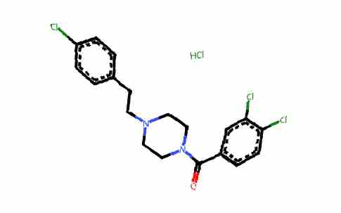 Cl.O=C(c1ccc(Cl)c(Cl)c1)N1CCN(CCc2ccc(Cl)cc2)CC1